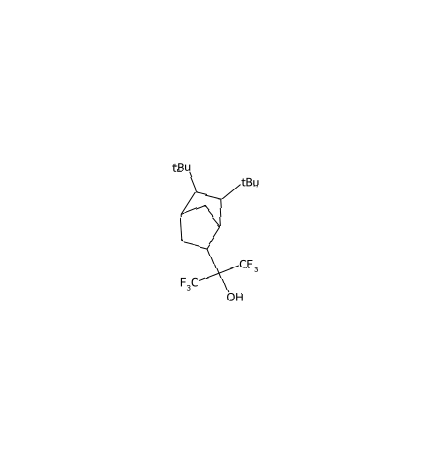 CC(C)(C)C1C2CC(C1C(C)(C)C)C(C(O)(C(F)(F)F)C(F)(F)F)C2